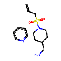 C=CCS(=O)(=O)N1CCC(CN)CC1.c1ccncc1